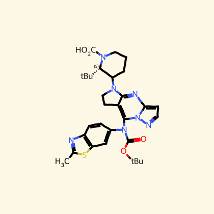 Cc1nc2ccc(N(C(=O)OC(C)(C)C)c3c4c(nc5ccnn35)N(C3CCCN(C(=O)O)[C@H]3C(C)(C)C)CC4)cc2s1